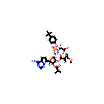 COCCOC(=O)[C@H](C)NP(=O)(OC[C@H]1O[C@@](C)(c2ccc3c(N)ncnn23)[C@H](OC(=O)C(C)C)[C@@H]1OC(=O)C(C)C)Oc1ccc(C(C)(C)C)cc1